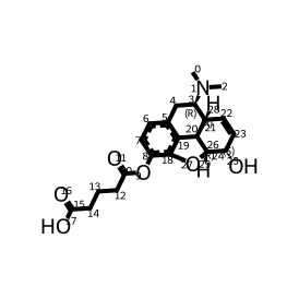 CN(C)[C@@H]1Cc2ccc(OC(=O)CCCC(=O)O)c3c2C2[C@H]1C=C[C@H](O)[C@@H]2O3